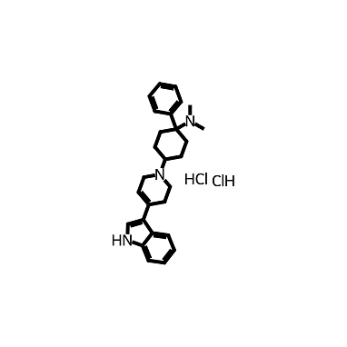 CN(C)C1(c2ccccc2)CCC(N2CC=C(c3c[nH]c4ccccc34)CC2)CC1.Cl.Cl